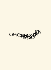 Cc1cc(O[C@H]2C(C)(C)[C@H](NC(=O)c3ccc(N4CCC(C=O)CC4)nc3)C2(C)C)ccc1C#N